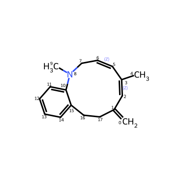 C=C1/C=C(C)\C=C/CN(C)c2ccccc2CC1